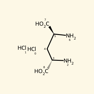 Cl.Cl.N[C@@H](C[C@H](N)C(=O)O)C(=O)O